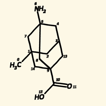 CC12CC3CC(N)(C1)CC(C(=O)O)(C3)C2